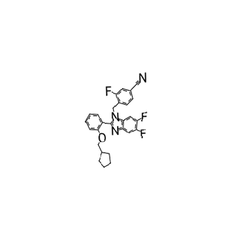 N#Cc1ccc(Cn2c(-c3ccccc3OCC3CCCC3)nc3cc(F)c(F)cc32)c(F)c1